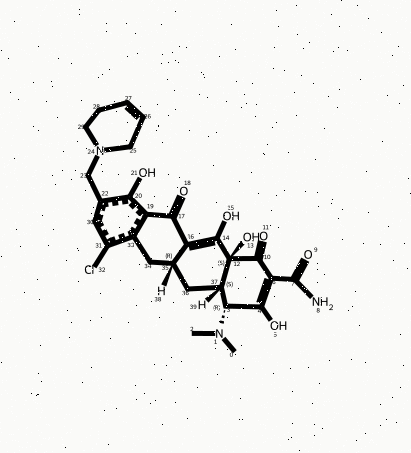 CN(C)[C@H]1C(O)=C(C(N)=O)C(=O)[C@@]2(O)C(O)=C3C(=O)c4c(O)c(CN5CC=CCC5)cc(Cl)c4C[C@H]3C[C@@H]12